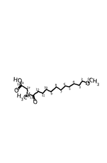 COCCCCCCCCCCCC(=O)N(C)CC(=O)O